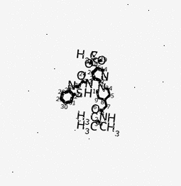 CC(C)(C)NC(=O)CC1CCN(c2ncc(S(C)(=O)=O)cc2NC(=O)c2nc3ccccc3s2)CC1